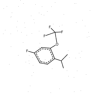 CC(C)c1ccc(F)cc1OC(F)(F)F